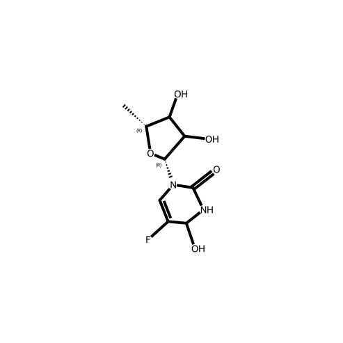 C[C@H]1O[C@@H](N2C=C(F)C(O)NC2=O)C(O)C1O